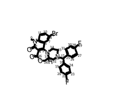 Cn1c(=O)c2c(c3cc(Br)ccc31)N1CCN(C(c3ccc(F)cc3)c3ccc(F)cc3)C[C@@H]1COC2=O